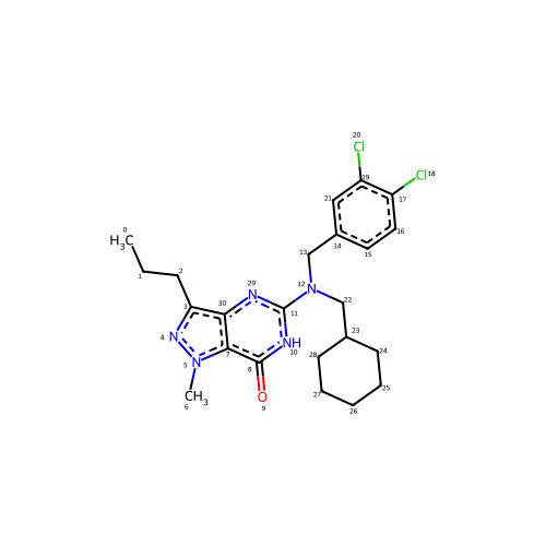 CCCc1nn(C)c2c(=O)[nH]c(N(Cc3ccc(Cl)c(Cl)c3)CC3CCCCC3)nc12